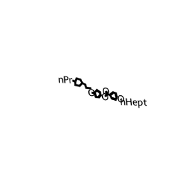 CCCCCCCOc1ccc(C(=O)Oc2ccc(OCCCC3CCC(CCC)CC3)cc2)cc1